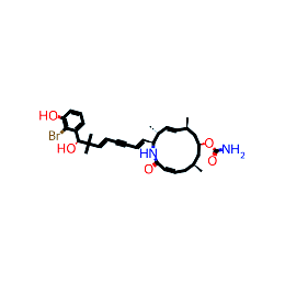 C[C@H]1C/C=C\C(=O)N[C@@H](/C=C/C#C/C=C/C(C)(C)[C@H](O)c2cccc(O)c2Br)[C@H](C)/C=C/[C@@H](C)C[C@@H](OC(N)=O)C1